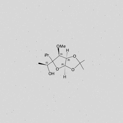 CO[C@H]1[C@H]2OC(C)(C)O[C@H]2OC1(C(C)C)[C@H](C)O